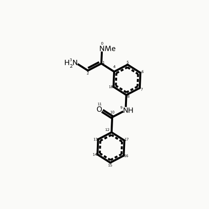 CN/C(=C\N)c1cccc(NC(=O)c2ccccc2)c1